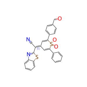 N#C/C(=C1/C=C(c2ccccc2)S(=O)(=O)C(c2ccc(C=O)cc2)=C1)c1nc2ccccc2s1